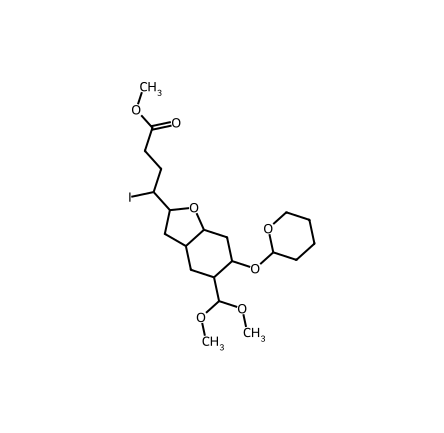 COC(=O)CCC(I)C1CC2CC(C(OC)OC)C(OC3CCCCO3)CC2O1